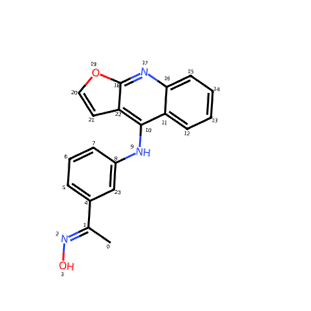 C/C(=N\O)c1cccc(Nc2c3ccccc3nc3occc23)c1